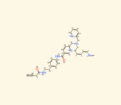 C=N/C=C\C=C/CCN(Cc1ccccn1)Cc1ccc(C(=O)Nc2ccc(CCNC(=O)CNC)cc2)cn1